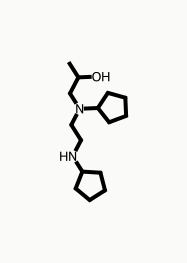 CC(O)CN(CCNC1CCCC1)C1CCCC1